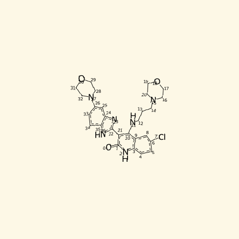 O=c1[nH]c2ccc(Cl)cc2c(NCCCN2CCOCC2)c1-c1nc2cc(N3CCOCC3)ccc2[nH]1